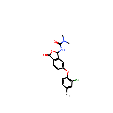 CN(C)C(=O)NC1OC(=O)c2ccc(Oc3ccc(C(F)(F)F)cc3Cl)cc21